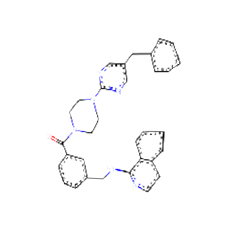 O=C(c1cccc(CNc2nccc3ccccc23)c1)N1CCN(c2ncc(Cc3ccccc3)cn2)CC1